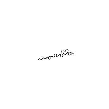 CCCCCCOCCOCCOC(=O)CC(=O)O